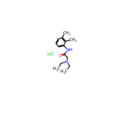 CCN(CC)CC(=O)Nc1cccc(C)c1C.Cl